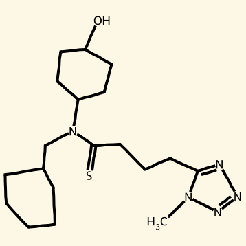 Cn1nnnc1CCCC(=S)N(CC1CCCCC1)C1CCC(O)CC1